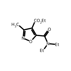 CCOC(=O)c1c(C)noc1C(=O)N(CC)CC